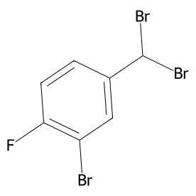 Fc1ccc(C(Br)Br)cc1Br